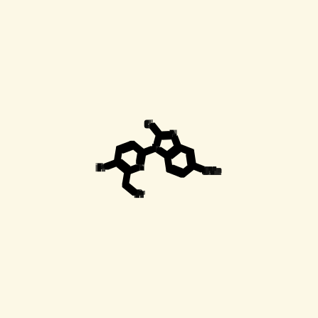 COc1ccc2c(c1)nc(Cl)n2-c1ccc(C(C)C)c(CC(C)C)n1